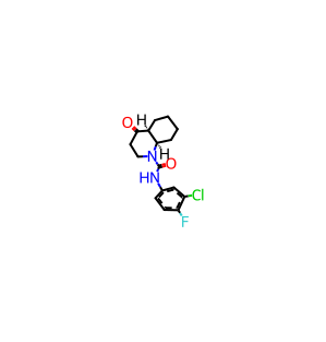 O=C1CCN(C(=O)Nc2ccc(F)c(Cl)c2)[C@@H]2CCCC[C@H]12